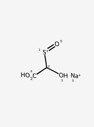 O=[S+]C(O)C(=O)O.[Na+]